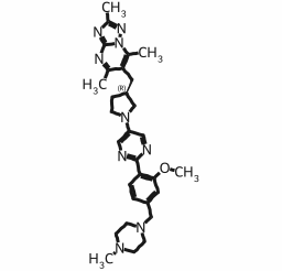 COc1cc(CN2CCN(C)CC2)ccc1-c1ncc(N2CC[C@@H](Cc3c(C)nc4nc(C)nn4c3C)C2)cn1